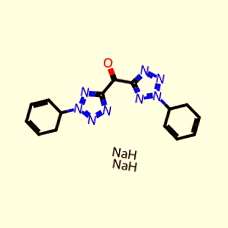 O=C(c1nnn(C2C=CC=CC2)n1)c1nnn(C2C=CC=CC2)n1.[NaH].[NaH]